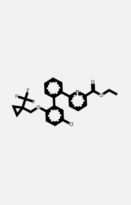 CCOC(=O)c1cccc(-c2ccccc2-c2cc(Cl)ccc2OCC2(C(F)(F)F)CC2)n1